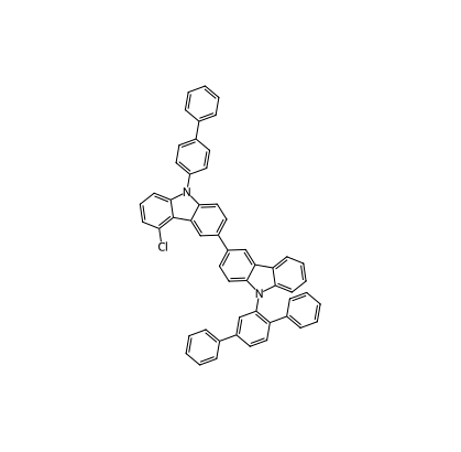 Clc1cccc2c1c1cc(-c3ccc4c(c3)c3ccccc3n4-c3cc(-c4ccccc4)ccc3-c3ccccc3)ccc1n2-c1ccc(-c2ccccc2)cc1